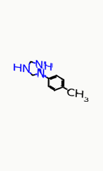 Cc1ccc(N2CNCN2)cc1